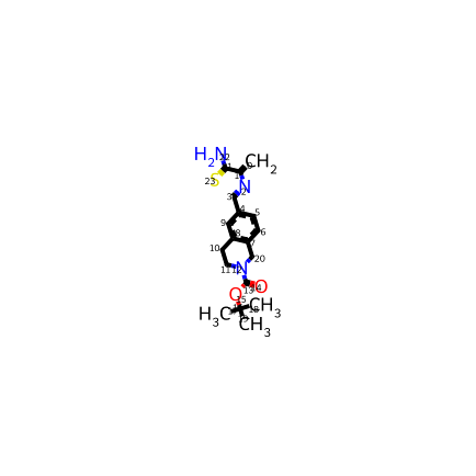 C=C(/N=C/c1ccc2c(c1)CCN(C(=O)OC(C)(C)C)C2)C(N)=S